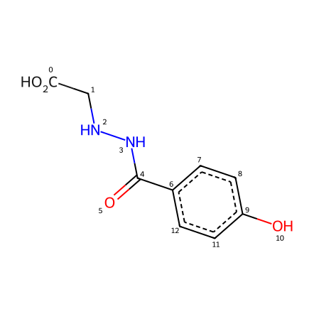 O=C(O)CNNC(=O)c1ccc(O)cc1